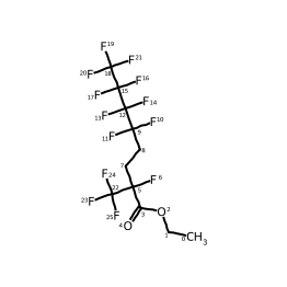 CCOC(=O)C(F)(CCC(F)(F)C(F)(F)C(F)(F)C(F)(F)F)C(F)(F)F